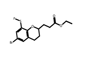 CCOC(=O)CCC1CCc2cc(Br)cc(SF)c2O1